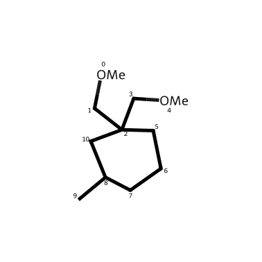 COCC1(COC)CCCC(C)C1